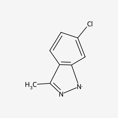 CC1=N[N]c2cc(Cl)ccc21